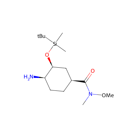 CON(C)C(=O)[C@H]1CC[C@@H](N)[C@@H](O[Si](C)(C)C(C)(C)C)C1